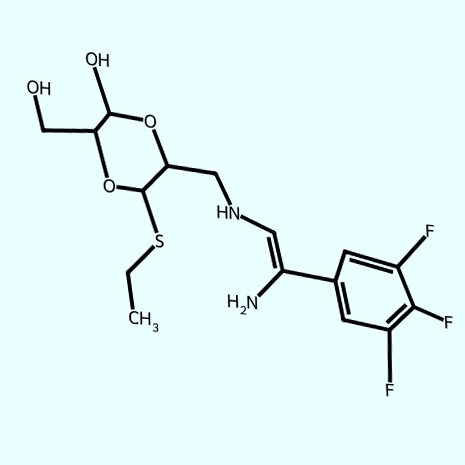 CCSC1OC(CO)C(O)OC1CN/C=C(\N)c1cc(F)c(F)c(F)c1